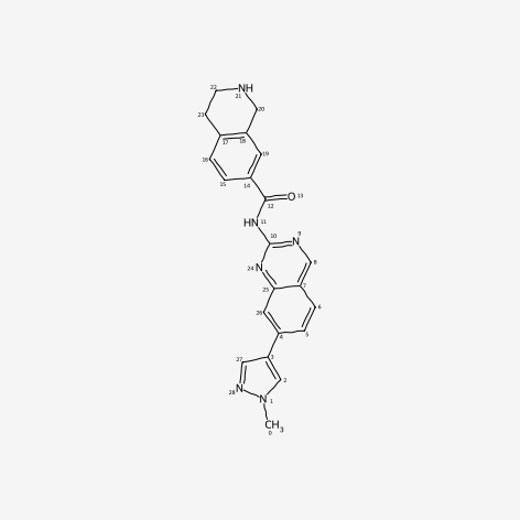 Cn1cc(-c2ccc3cnc(NC(=O)c4ccc5c(c4)CNCC5)nc3c2)cn1